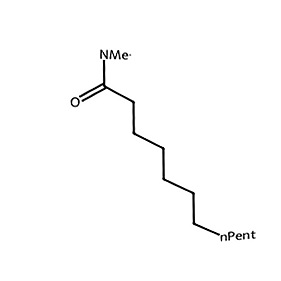 CCCCCCCCCCCC(=O)[N]C